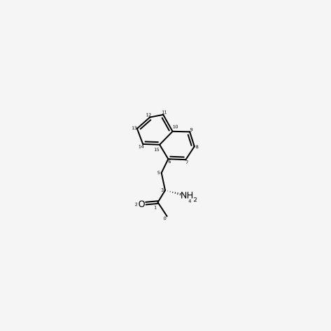 CC(=O)[C@@H](N)Cc1cccc2ccccc12